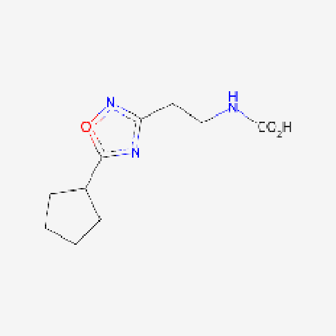 O=C(O)NCCc1noc(C2CCCC2)n1